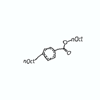 CCCCCCCCOC(=O)c1ccc(CCCCCCCC)cc1